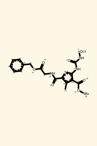 CCCCCCCCNC(=O)Nc1sc(C(=O)NCC(=O)OCc2ccccc2)c(C)c1C(=O)OC(C)(C)C